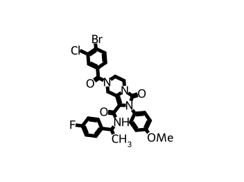 COc1ccc(-n2c(C(=O)NC(C)c3ccc(F)cc3)c3n(c2=O)CCN(C(=O)c2ccc(Br)c(Cl)c2)C3)cc1